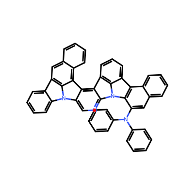 c1ccc(N(c2ccccc2)c2cc3ccccc3c3c4cccc5c6c7c8c9ccccc9cc9c%10ccccc%10n(c7cnc6n(c23)c54)c98)cc1